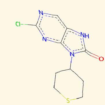 O=c1[nH]c2cnc(Cl)nc2n1C1CCSCC1